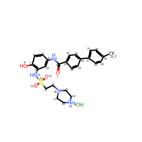 Cl.O=C(Nc1ccc(O)c(NS(=O)(=O)CCN2CCNCC2)c1)c1ccc(-c2ccc(C(F)(F)F)cc2)cc1